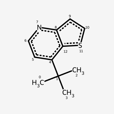 CC(C)(C)c1ccnc2ccsc12